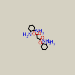 NC1CCCCC1(N)OC(=O)CC(=O)OC1(N)CCCCC1N